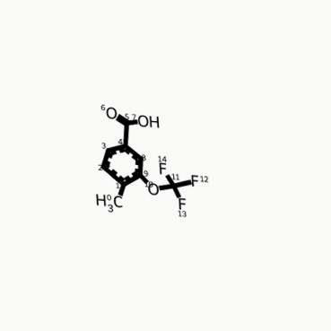 Cc1ccc(C(=O)O)cc1OC(F)(F)F